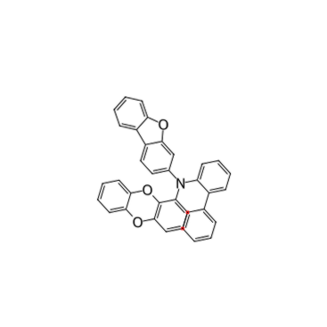 c1ccc(-c2ccccc2N(c2ccc3c(c2)oc2ccccc23)c2cccc3c2Oc2ccccc2O3)cc1